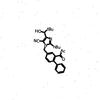 CCCCc1nc(C(O)C(C)(C)C)c(C#N)n1Cc1ccc(-c2ccccc2)c(C(=O)C(C)=O)c1